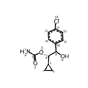 NC(=O)O[C@@H](C1CC1)C(O)c1ccc(Cl)cc1